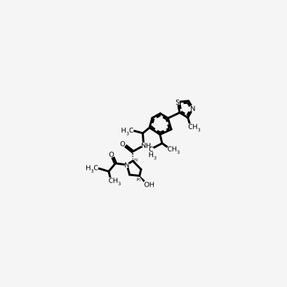 Cc1ncsc1-c1ccc(C(C)NC(=O)[C@@H]2C[C@@H](O)CN2C(=O)C(C)C)c(C(C)C)c1